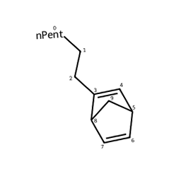 CCCCCCCC1=CC2C=CC1C2